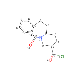 O=C(Cl)C1CCC2CCc3ccccc3C(=O)N2C1